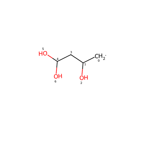 [CH2]C(O)CC(O)O